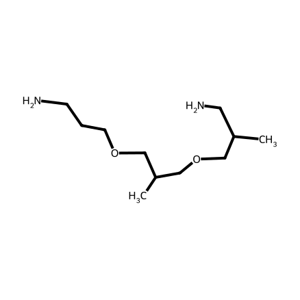 CC(CN)COCC(C)COCCCN